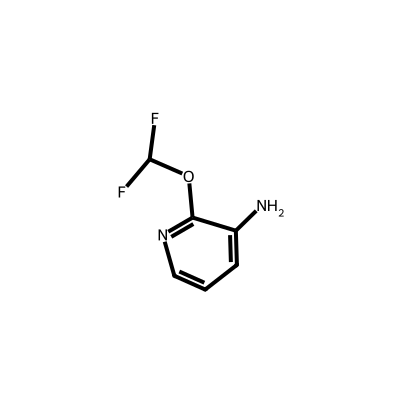 Nc1cccnc1OC(F)F